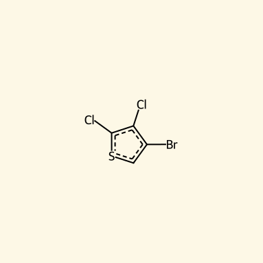 Clc1scc(Br)c1Cl